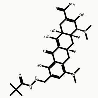 CN(C)c1cc(CNNC(=O)C(C)(C)C)c(O)c2c1C[C@H]1C[C@H]3[C@H](N(C)C)C(O)=C(C(N)=O)C[C@@]3(O)C(O)=C1C2=O